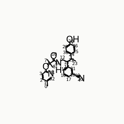 Cc1ccc(OC(C)(C)C(=O)NCC(c2cccc(C#N)c2)C(C)c2ccc(O)cc2)nc1